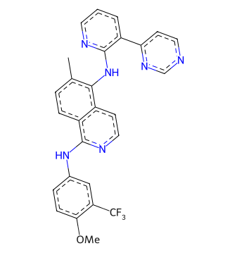 COc1ccc(Nc2nccc3c(Nc4ncccc4-c4ccncn4)c(C)ccc23)cc1C(F)(F)F